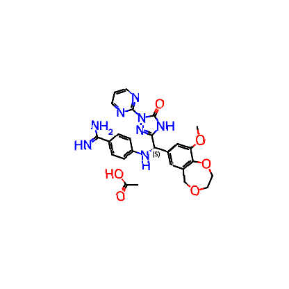 CC(=O)O.COc1cc([C@H](Nc2ccc(C(=N)N)cc2)c2nn(-c3ncccn3)c(=O)[nH]2)cc2c1OCCOC2